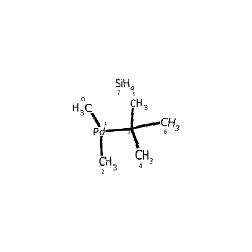 [CH3][Pd]([CH3])[C](C)(C)C.[SiH4]